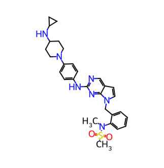 CN(c1ccccc1Cn1ccc2cnc(Nc3ccc(N4CCC(NC5CC5)CC4)cc3)nc21)S(C)(=O)=O